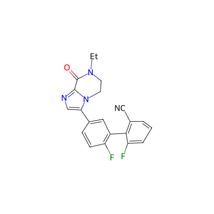 CCN1CCn2c(-c3ccc(F)c(-c4c(F)cccc4C#N)c3)cnc2C1=O